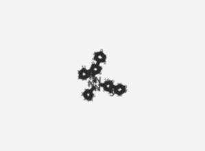 c1ccc(-c2ccc3c(c2)c2ccccc2n3-c2nc(-c3ccccc3)nc(-c3ccc4c(c3)sc3ccccc34)n2)cc1